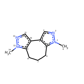 Cn1ncc2c1CCCc1c-2cnn1C